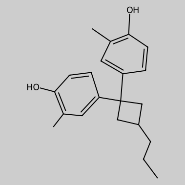 CCCC1CC(c2ccc(O)c(C)c2)(c2ccc(O)c(C)c2)C1